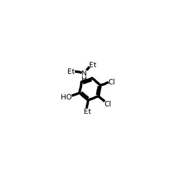 CCNCC.CCc1c(O)ccc(Cl)c1Cl